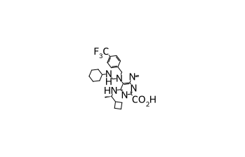 C=Nc1nc(C(=O)O)nc(N[C@H](C)C2CCC2)c1N(CNC1CCCCC1)Cc1ccc(C(F)(F)F)cc1